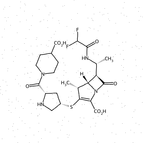 C[C@@H](NC(=O)C(F)F)[C@H]1C(=O)N2C(C(=O)O)=C(S[C@@H]3CN[C@H](C(=O)N4CCC(C(=O)O)CC4)C3)[C@H](C)[C@H]12